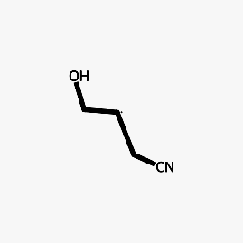 N#CC[CH]CO